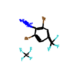 F[B-](F)(F)F.N#[N+]c1c(Br)cc(C(F)(F)F)cc1Br